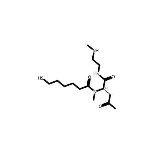 CNCCNC(=O)[C@H](CC(C)=O)N(C)C(=O)CCCCCS